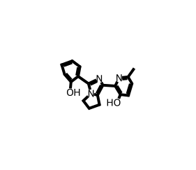 Cc1ccc(O)c(-c2nc(-c3ccccc3O)n3c2CCC3)n1